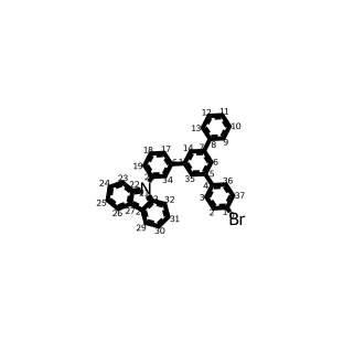 Brc1ccc(-c2cc(-c3ccccc3)cc(-c3cccc(-n4c5ccccc5c5ccccc54)c3)c2)cc1